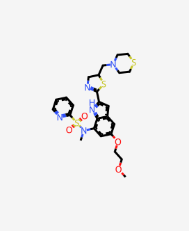 COCCOc1cc(N(C)S(=O)(=O)c2ccccn2)c2[nH]c(C3=NCC(CN4CCSCC4)S3)cc2c1